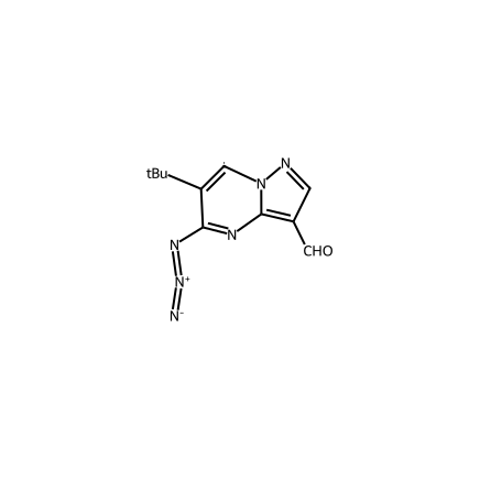 CC(C)(C)c1[c]n2ncc(C=O)c2nc1N=[N+]=[N-]